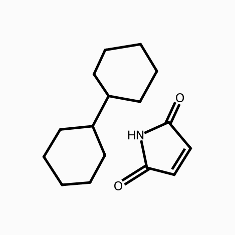 C1CCC(C2CCCCC2)CC1.O=C1C=CC(=O)N1